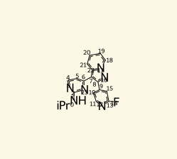 CC(C)Nc1nccc(-c2c(-c3ccnc(F)c3)nn3ccccc23)n1